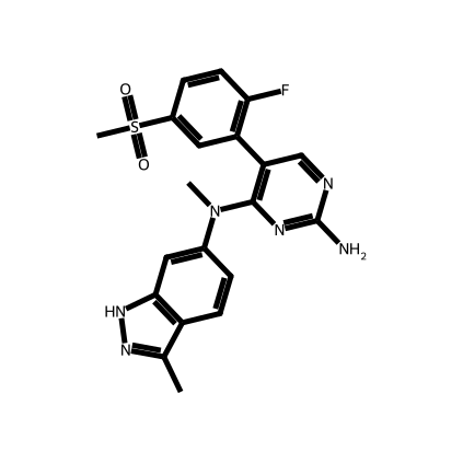 Cc1n[nH]c2cc(N(C)c3nc(N)ncc3-c3cc(S(C)(=O)=O)ccc3F)ccc12